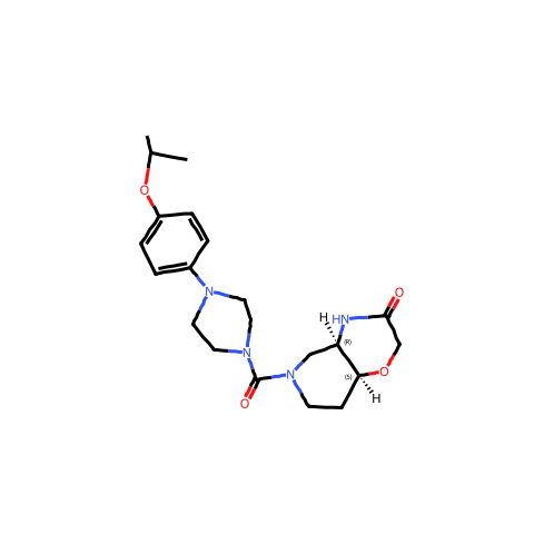 CC(C)Oc1ccc(N2CCN(C(=O)N3CC[C@@H]4OCC(=O)N[C@@H]4C3)CC2)cc1